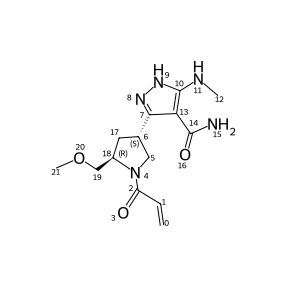 C=CC(=O)N1C[C@@H](c2n[nH]c(NC)c2C(N)=O)C[C@@H]1COC